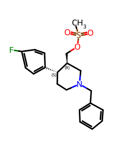 CS(=O)(=O)OC[C@H]1CN(Cc2ccccc2)CC[C@@H]1c1ccc(F)cc1